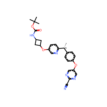 C[C@H](c1ccc(Oc2cnc(C#N)nc2)cc1)c1ccc(OC2CC(NC(=O)OC(C)(C)C)C2)cn1